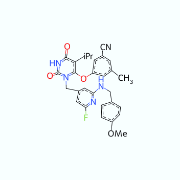 COc1ccc(CNc2cc(Cn3c(Oc4cc(C)cc(C#N)c4)c(C(C)C)c(=O)[nH]c3=O)cc(F)n2)cc1